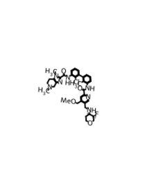 COCc1cc(C(=O)Nc2cccc(-c3cccc(NC(=O)c4nc5c(n4C)CCN(C)C5)c3Cl)c2C)ncc1CN[C@@H]1CCOC[C@@H]1F